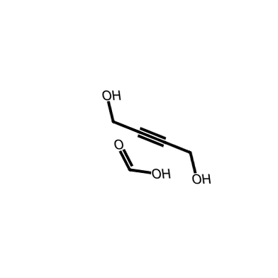 O=CO.OCC#CCO